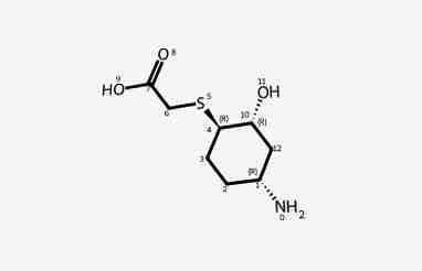 N[C@@H]1CC[C@@H](SCC(=O)O)[C@H](O)C1